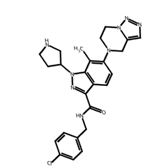 Cc1c(N2CCn3nncc3C2)ccc2c(C(=O)NCc3ccc(Cl)cc3)nn(C3CCNC3)c12